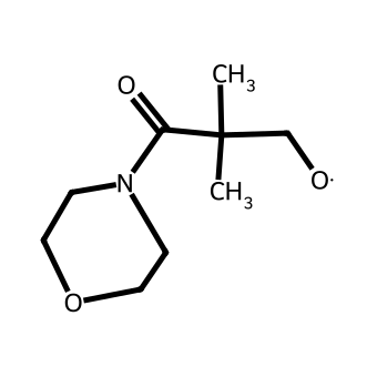 CC(C)(C[O])C(=O)N1CCOCC1